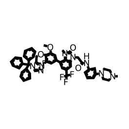 COc1cc(-c2cc(C(F)(F)F)cc3c2n(C)c(=O)n3CC(=O)Nc2cccc(N3CCN(C)CC3)c2)cc(F)c1OCc1nncn1C(c1ccccc1)(c1ccccc1)c1ccccc1